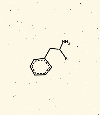 NC(Br)Cc1ccccc1